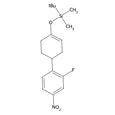 CC(C)(C)[Si](C)(C)OC1=CCC(c2ccc([N+](=O)[O-])cc2F)CC1